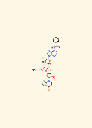 N#CCCOC1C[C@H]2[C@H](F)[C@H](n3cnc4c(NC(=O)c5ccccc5)ncnc43)O[C@@H]2CC1(O)OC1C[C@@H](OP)[C@H](n2ccc(=O)n3ccnc23)O1